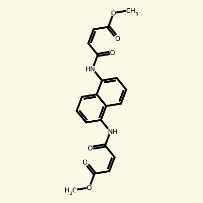 COC(=O)/C=C\C(=O)Nc1cccc2c(NC(=O)/C=C\C(=O)OC)cccc12